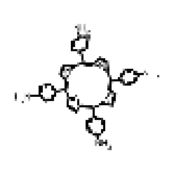 Nc1ccc(C2=C3C=CC(=N3)C(c3ccc(N)cc3)=C3C=CC(=N3)C(c3ccc(N)cc3)=C3C=CC(=N3)C(c3ccc(N)cc3)=C3C=CC2=N3)cc1